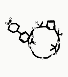 C[C@H]1Nc2nc(=O)n(c3ccc(C4CCS(=O)(=O)CC4)cc23)CCCCCCN2CCC(CC2(C)C)C(F)(F)c2cccc1c2